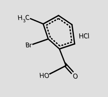 Cc1cccc(C(=O)O)c1Br.Cl